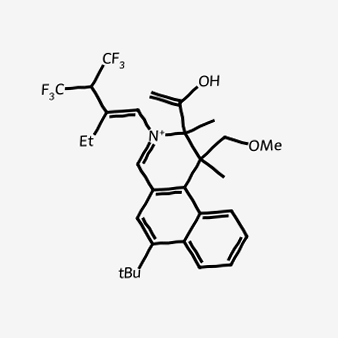 C=C(O)C1(C)[N+](/C=C(\CC)C(C(F)(F)F)C(F)(F)F)=Cc2cc(C(C)(C)C)c3ccccc3c2C1(C)COC